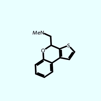 CNCC1Oc2ccccc2-c2ccsc21